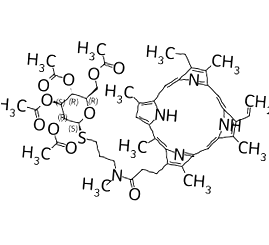 C=Cc1c(C)c2cc3nc(c(C)c4cc(C)c(cc5nc(cc1[nH]2)C(C)=C5CC)[nH]4)C(CCC(=O)N(C)CCCS[C@@H]1O[C@H](COC(C)=O)[C@@H](OC(C)=O)[C@H](OC(C)=O)[C@H]1OC(C)=O)=C3C